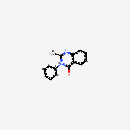 O=c1c2ccccc2nc(C(F)(F)F)n1-c1ccccc1